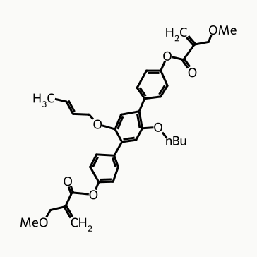 C=C(COC)C(=O)Oc1ccc(-c2cc(OCCCC)c(-c3ccc(OC(=O)C(=C)COC)cc3)cc2OC/C=C/C)cc1